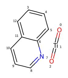 [O]=[Ti]=[O].c1ccc2ncccc2c1